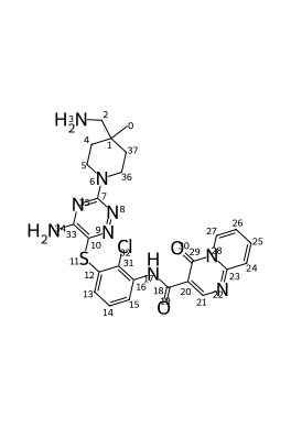 CC1(CN)CCN(c2nnc(Sc3cccc(NC(=O)c4cnc5ccccn5c4=O)c3Cl)c(N)n2)CC1